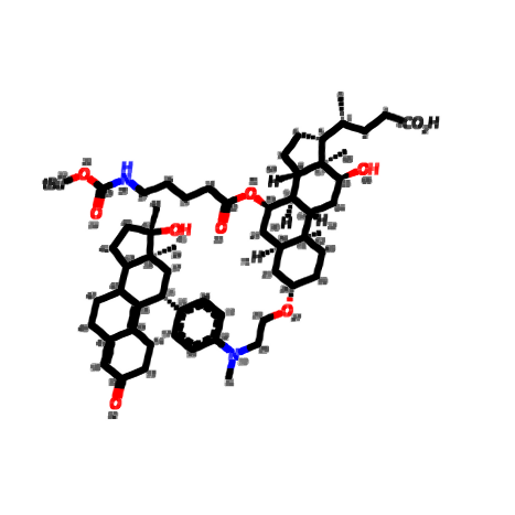 C[C@H](CCC(=O)O)[C@H]1CC[C@H]2[C@@H]3[C@H](OC(=O)CCCCNC(=O)OC(C)(C)C)C[C@@H]4C[C@@H](OCCN(C)c5ccc([C@H]6C[C@@]7(C)C(CC[C@]7(C)O)C7CCC8=CC(=O)CCC8=C76)cc5)CC[C@]4(C)[C@H]3C[C@H](O)[C@]12C